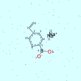 C=Cc1ccc(B([O-])[O-])cc1.[Na+].[Na+]